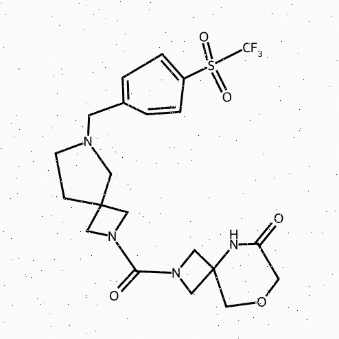 O=C1COCC2(CN(C(=O)N3CC4(CCN(Cc5ccc(S(=O)(=O)C(F)(F)F)cc5)C4)C3)C2)N1